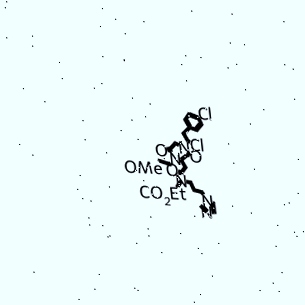 CCOC(=O)CN(CCCn1ccnc1)C(=O)CC1C(=O)N(C(Cl)Cc2ccc(Cl)cc2)CC(=O)N1CCOC